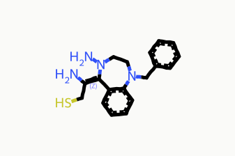 N/C(CS)=C1/c2ccccc2N(Cc2ccccc2)CCN1N